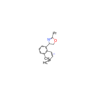 C#C/C=C\c1c(C)cccc1C1COC(C(C)C)=N1